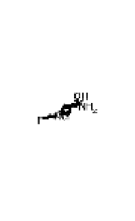 C[C@](N)(CO)CCc1ccc(OCCCCCF)cc1.Cl